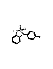 O=S1(=O)Nc2ccccc2N1c1ccc(F)cc1